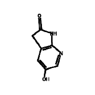 O=C1Cc2cc(O)cnc2N1